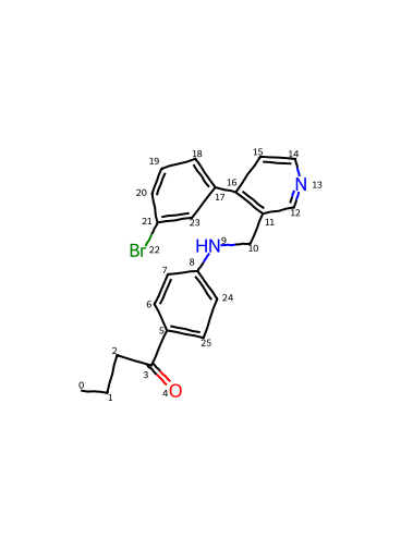 CCCC(=O)c1ccc(NCc2cnccc2-c2cccc(Br)c2)cc1